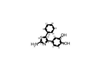 Nc1nc(-c2ccc(O)c(O)c2)c(-c2ccccc2)s1